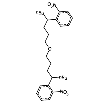 CCCCC(CCCOCCCC(CCCC)c1ccccc1[N+](=O)[O-])c1ccccc1[N+](=O)[O-]